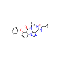 Cn1c(=O)c2c(Oc3ccccc3)cccc2n2cnc(-c3noc(C4CC4)n3)c12